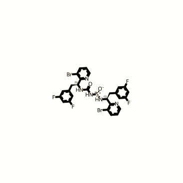 O=C(N[C@@H](Cc1cc(F)cc(F)c1)c1ncccc1Br)N[S@@+]([O-])N[C@@H](Cc1cc(F)cc(F)c1)c1ncccc1Br